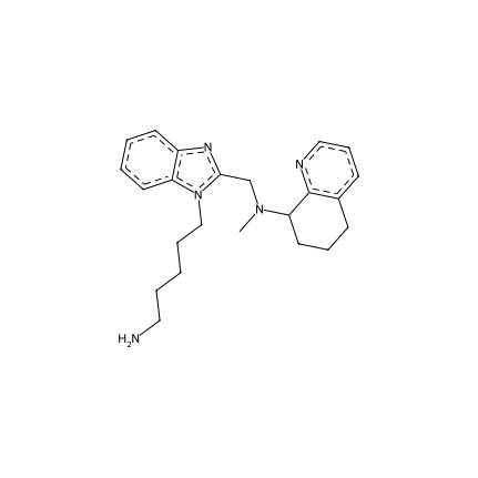 CN(Cc1nc2ccccc2n1CCCCCN)C1CCCc2cccnc21